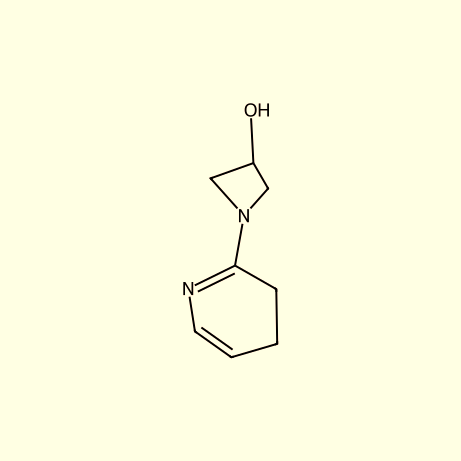 OC1CN(C2=NC=CCC2)C1